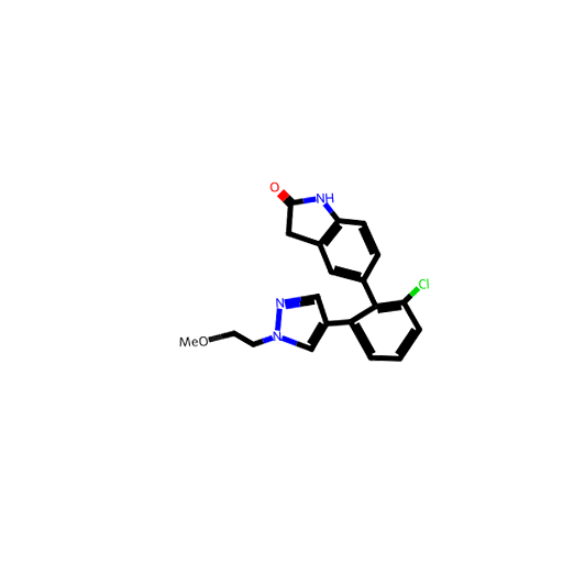 COCCn1cc(-c2cccc(Cl)c2-c2ccc3c(c2)CC(=O)N3)cn1